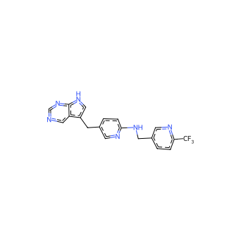 FC(F)(F)c1ccc(CNc2ccc(Cc3c[nH]c4ncncc34)cn2)cn1